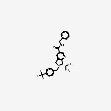 CC(C)[C@H]1c2ncc(C(=O)NCc3ccccc3)cc2CN1Cc1ccc(C(F)(F)F)cc1